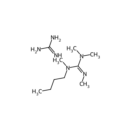 CCCCN(C)/C(=N\C)N(C)C.N=C(N)N